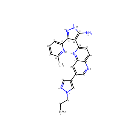 CNCCn1cc(-c2cnc3ccc(-c4c(-c5cccc(C)n5)n[nH]c4N)nc3c2)cn1